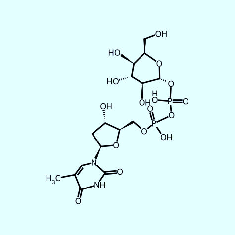 Cc1cn([C@H]2C[C@H](O)[C@@H](COP(=O)(O)OP(=O)(O)O[C@H]3O[C@H](CO)[C@H](O)[C@@H](O)[C@@H]3O)O2)c(=O)[nH]c1=O